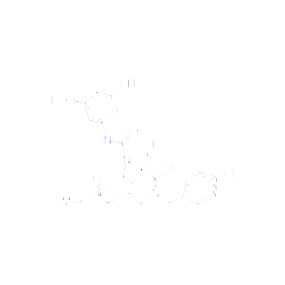 COC(=O)CCCN(Cc1ccc(Cl)cc1)C(=O)C1(C)CCN1C(=O)Nc1cc(C)cc(C)c1